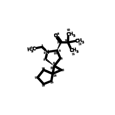 CCN1C[C@]2(C[C@H]1C(=O)C(C)(C)C)CC21CCCC1